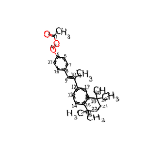 CC(=O)OOc1ccc(/C=C(\C)c2ccc3c(c2)C(C)(C)CCC3(C)C)cc1